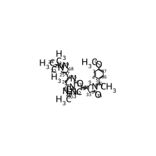 COc1ccc([C@H](C)N2C[C@H]([C@@H](C)Oc3nc(-c4cnn(C(C)(C)C)c4)cc4nc(C)nn34)CC2=O)cc1